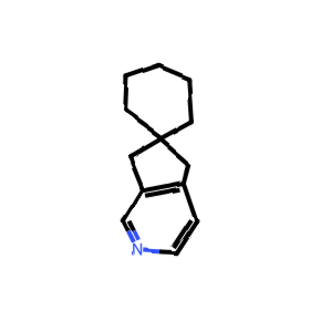 c1cc2c(cn1)CC1(CCCCC1)C2